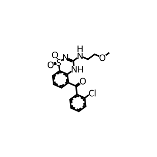 COCCNC1=NS(=O)(=O)c2cccc(C(=O)c3ccccc3Cl)c2N1